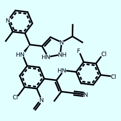 C=Nc1c(Cl)cc(N[C@H](C2=CN(C(C)C)NN2)c2cccnc2C)cc1/C(Nc1ccc(Cl)c(Cl)c1F)=C(\C)C#N